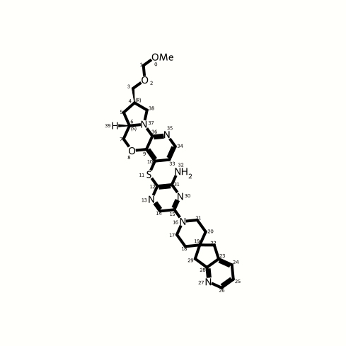 COCOC[C@@H]1C[C@H]2COc3c(Sc4ncc(N5CCC6(CC5)Cc5cccnc5C6)nc4N)ccnc3N2C1